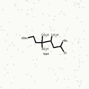 CCCCCCCCCCCCC(C(=O)O)(C(CC(CC)CCCC)C(=O)O)S(=O)(=O)O.[NaH]